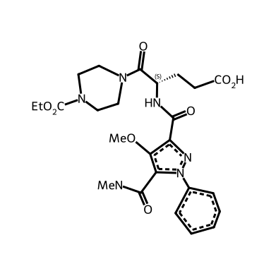 CCOC(=O)N1CCN(C(=O)[C@H](CCC(=O)O)NC(=O)c2nn(-c3ccccc3)c(C(=O)NC)c2OC)CC1